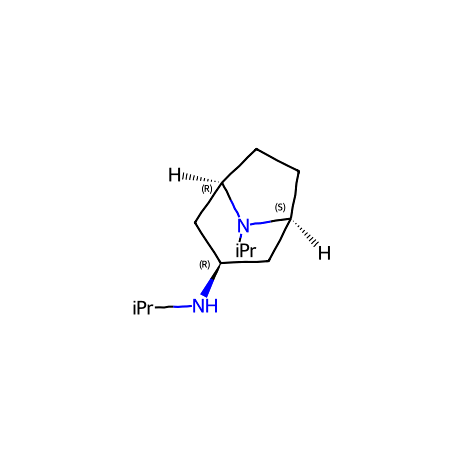 CC(C)N[C@H]1C[C@H]2CC[C@@H](C1)N2C(C)C